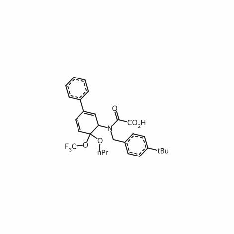 CCCOC1(OC(F)(F)F)C=CC(c2ccccc2)=CC1N(Cc1ccc(C(C)(C)C)cc1)C(=O)C(=O)O